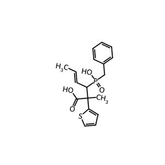 CC=CC(C(C)(C(=O)O)c1cccs1)P(=O)(O)Cc1ccccc1